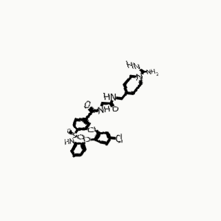 N=C(N)N1CCC(CNC(=O)CNC(=O)c2ccc(S(=O)(=O)Nc3ccccc3Oc3ccc(Cl)cc3Cl)cc2)CC1